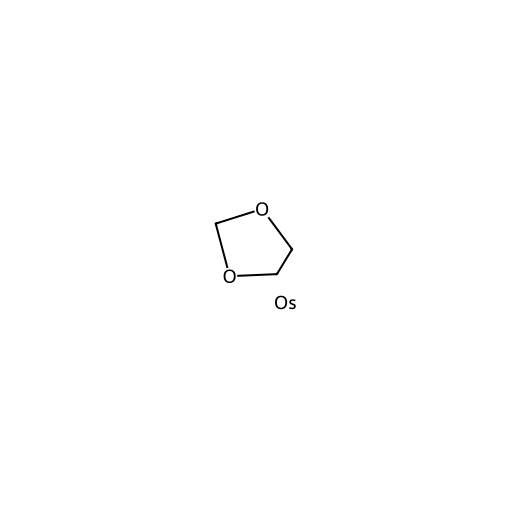 C1COCO1.[Os]